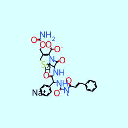 CN(C(=O)C=Cc1ccccc1)C(=O)NC(C(=O)NC1C(=O)N2C(C(=O)[O-])=C(COC(N)=O)CS[C@@H]12)c1ccccc1.[Na+]